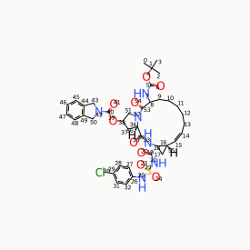 CC(C)(C)OC(=O)N[C@H]1CCCCC/C=C\[C@@H]2C[C@@]2(C(=O)NS(=O)(=O)Nc2ccc(Cl)cc2)NC(=O)[C@@H]2C[C@@H](OC(=O)N3Cc4ccccc4C3)CN2C1=O